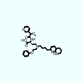 COC(C(=O)N[C@@H](CCN(CCCCc1ccc2c(n1)NCCC2)CCOc1ccccc1)C(=O)O)c1cccnc1